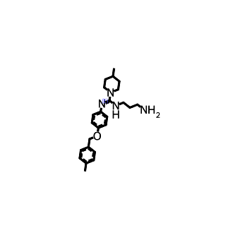 Cc1ccc(COc2ccc(/N=C(\NCCCN)N3CCC(C)CC3)cc2)cc1